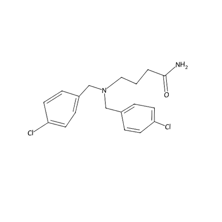 NC(=O)CCCN(Cc1ccc(Cl)cc1)Cc1ccc(Cl)cc1